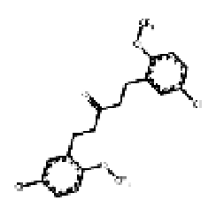 O=C(CCc1cc(Cl)ccc1OC(F)(F)F)CCc1cc(Cl)ccc1OC(F)(F)F